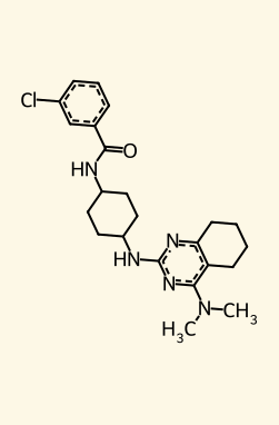 CN(C)c1nc(NC2CCC(NC(=O)c3cccc(Cl)c3)CC2)nc2c1CCCC2